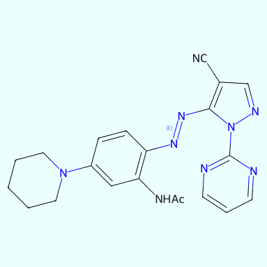 CC(=O)Nc1cc(N2CCCCC2)ccc1/N=N/c1c(C#N)cnn1-c1ncccn1